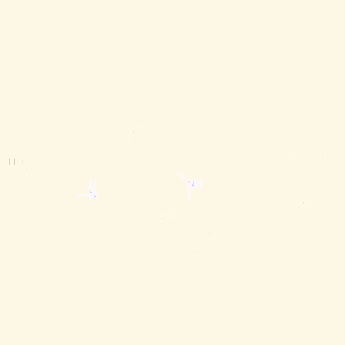 O=C(O)c1cnc([C@H]2C[C@@H](NC(=O)C3(c4ccc5c(c4)OC(F)(F)O5)CC3)c3ccccc3O2)s1